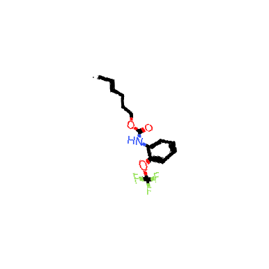 [CH2]CCCCCOC(=O)Nc1ccccc1OC(F)(F)F